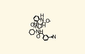 COC[C@@H]1Nc2ccccc2[C@H]2[C@@H]1CCN2C(=O)[C@H]1CCCC[C@H]1NC(=O)Cc1cccc(C#N)c1